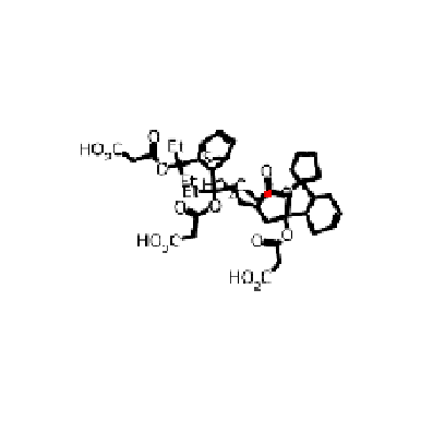 CCC(CC)(OC(=O)CC(=O)O)C1C2C=CC(S2)C1C(CC)(CCC1CCC(OC(=O)CC(=O)O)(C2CC=CCC2C2(OC(=O)CC(=O)O)CCCC2)C1)OC(=O)CC(=O)O